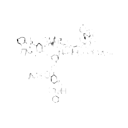 COCCOCCOCCN(CC(C)(C)SCCCC(=O)ON1C(=O)CCC1=O)c1cc(COc2cc3c(cc2OC)C(=O)N2c4ccccc4C[C@H]2C=N3)cc(COc2cc3c(cc2OC)C(=O)N2c4ccccc4C[C@H]2C=N3)c1